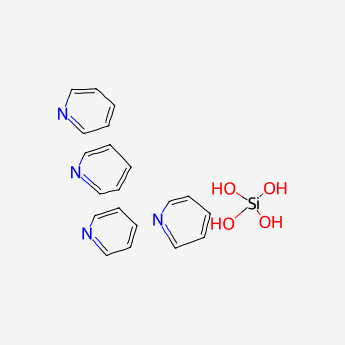 O[Si](O)(O)O.c1ccncc1.c1ccncc1.c1ccncc1.c1ccncc1